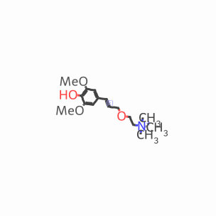 COc1cc(/C=C/COCC[N+](C)(C)C)cc(OC)c1O